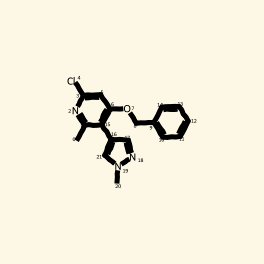 Cc1nc(Cl)cc(OCc2ccccc2)c1-c1cnn(C)c1